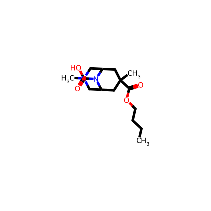 CCCCOC(=O)C1(C)CC2CN(C)CC(C1)N2C(=O)O